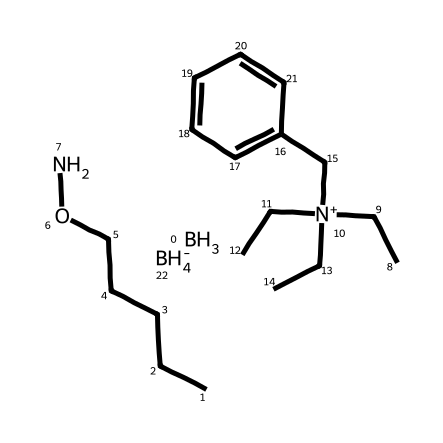 B.CCCCCON.CC[N+](CC)(CC)Cc1ccccc1.[BH4-]